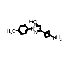 Cc1ccc(-n2ncc(C34CC(N)(C3)C4)n2)cc1.Cl